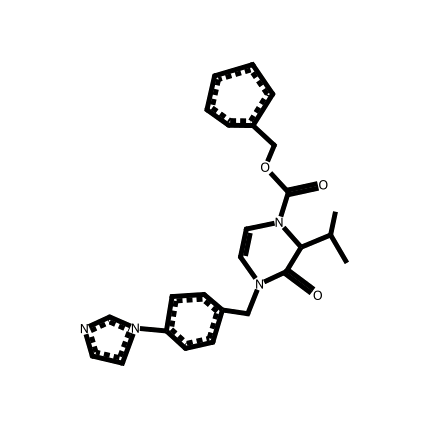 CC(C)C1C(=O)N(Cc2ccc(-n3ccnc3)cc2)C=CN1C(=O)OCc1ccccc1